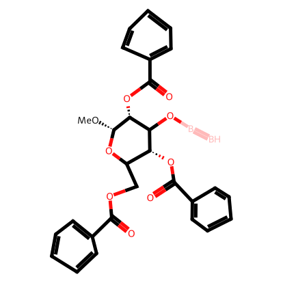 B=BOC1[C@H](OC(=O)c2ccccc2)C(COC(=O)c2ccccc2)O[C@H](OC)[C@@H]1OC(=O)c1ccccc1